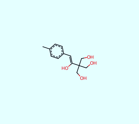 Cc1ccc(C=C(O)C(CO)(CO)CO)cc1